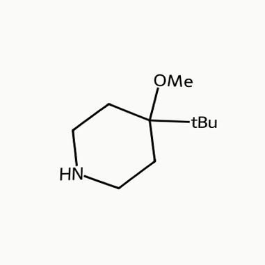 COC1(C(C)(C)C)CCNCC1